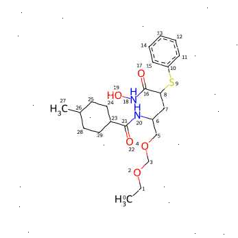 CCOCOCC(CC(Sc1ccccc1)C(=O)NO)NC(=O)C1CCC(C)CC1